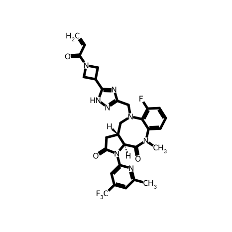 C=CC(=O)N1CC(c2nc(CN3C[C@H]4CC(=O)N(c5cc(C(F)(F)F)cc(C)n5)[C@@H]4C(=O)N(C)c4cccc(F)c43)n[nH]2)C1